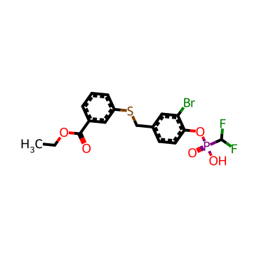 CCOC(=O)c1cccc(SCc2ccc(OP(=O)(O)C(F)F)c(Br)c2)c1